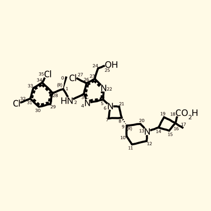 C[C@@H](Nc1nc(N2CC([C@H]3CCCN(C4CC(C)(C(=O)O)C4)C3)C2)nc(CO)c1Cl)c1ccc(Cl)cc1Cl